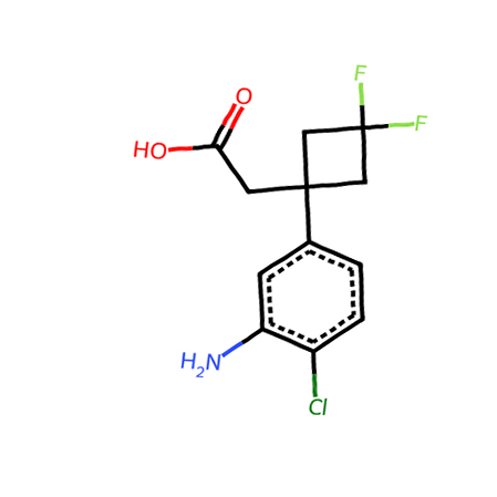 Nc1cc(C2(CC(=O)O)CC(F)(F)C2)ccc1Cl